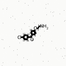 NCCOc1ccc(C(=O)c2ccc(Cl)cc2)cc1